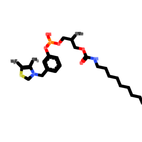 CCCCCCCCCCCCCCCCCCNC(=O)OCC(COP(O)Oc1cccc(CN2CSC(C)=C2C)c1)OC